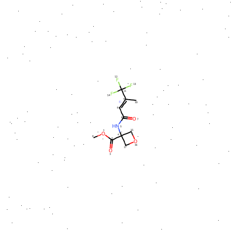 COC(=O)C1(NC(=O)/C=C(\C)C(F)(F)F)COC1